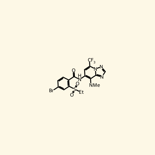 CCS(=O)(=O)c1cc(Br)ccc1C(=O)Nc1cc(C(F)(F)F)n2ncnc2c1NC